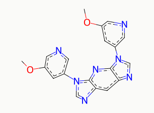 COc1cncc(-n2cnc3cc4ncn(-c5cncc(OC)c5)c4nc32)c1